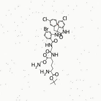 CC(C)(C)OC(=O)C(N)CCCC(NC(=O)CNC(=O)c1ccc(Br)cc1NC1(Cc2cccc(Cl)c2)C(=O)Nc2cc(Cl)ccc21)C(=O)OCN